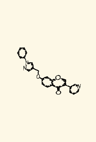 O=c1c(-c2cccnc2)coc2cc(OCc3cnn(-c4ccccc4)c3)ccc12